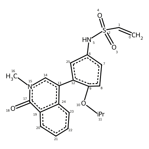 C=CS(=O)(=O)Nc1ccc(OC(C)C)c(-c2cn(C)c(=O)c3ccccc23)c1